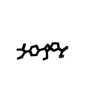 CCC1C(N2CCC(N(OC)C(C)=O)CC2)CC12CCN(C(=O)O)C2